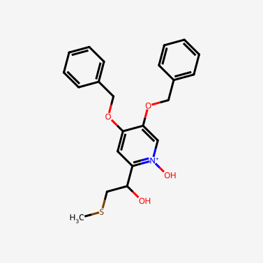 CSCC(O)c1cc(OCc2ccccc2)c(OCc2ccccc2)c[n+]1O